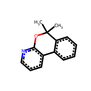 CC1(C)Oc2ncccc2-c2ccccc21